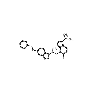 CC(C)n1ccc2c(CC(C)n3ccc4cc(OCc5ccccc5)ccc43)c(I)ccc21